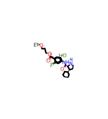 CCOCCCOC(=O)c1ccc(NC(=O)[C@@H]2NCC[C@H]2C2CCCCC2)cc1F.Cl